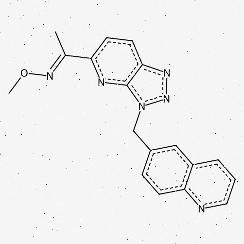 CON=C(C)c1ccc2nnn(Cc3ccc4ncccc4c3)c2n1